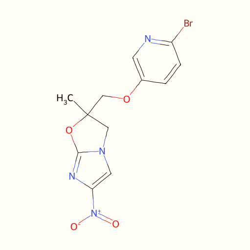 CC1(COc2ccc(Br)nc2)Cn2cc([N+](=O)[O-])nc2O1